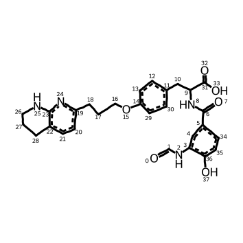 O=CNc1cc(C(=O)NC(Cc2ccc(OCCCc3ccc4c(n3)NCCC4)cc2)C(=O)O)ccc1O